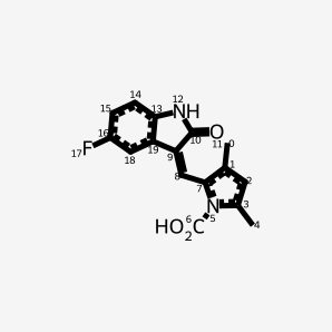 Cc1cc(C)n(C(=O)O)c1/C=C1\C(=O)Nc2ccc(F)cc21